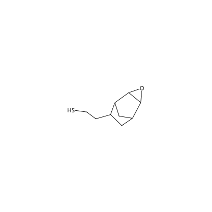 SCCC1CC2CC1C1OC21